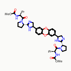 COC(=O)N[C@H](C(=O)N1CCC[C@H]1C1=NCC(c2ccc3c(c2)Oc2ccc(C4CN=C([C@@H]5CCCN5C(=O)[C@@H](NC(=O)OC)C(C)C)N4)cc2O3)N1)C(C)C